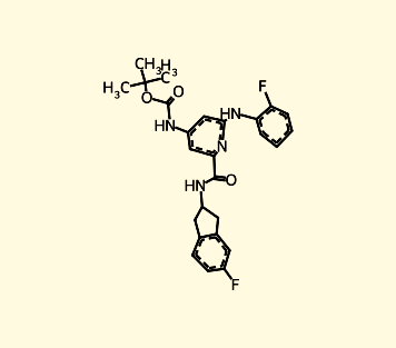 CC(C)(C)OC(=O)Nc1cc(Nc2ccccc2F)nc(C(=O)NC2Cc3ccc(F)cc3C2)c1